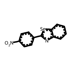 O=[N+]([O-])c1ccc(-c2nc3ccccc3[se]2)cc1